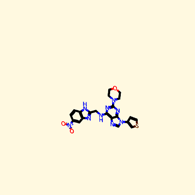 O=[N+]([O-])c1ccc2[nH]c(CNc3nc(N4CCOCC4)nc4c3ncn4-c3ccsc3)nc2c1